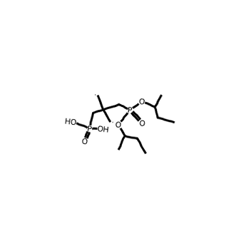 [CH2]C([CH2])(CP(=O)(O)O)CP(=O)(OC(C)CC)OC(C)CC